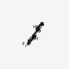 Cn1cc(CC(=O)Nc2ccn(CCCCc3ccc(NC(=O)Cc4cccc(OC(F)(F)F)c4)nn3)c(=O)n2)cn1